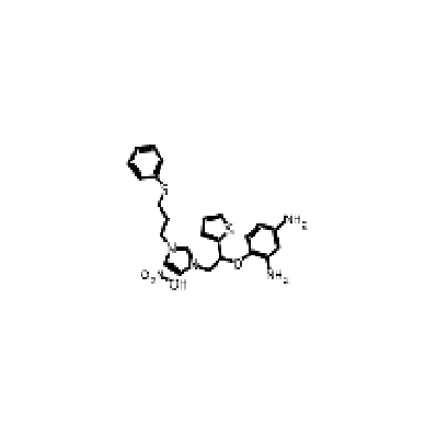 Nc1ccc(OC(CN2C=CN(CCCSc3ccccc3)C2)c2cccs2)c(N)c1.O=[N+]([O-])O